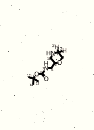 [2H]C1([2H])COC(CNC(=O)OC(C)(C)C)CN1